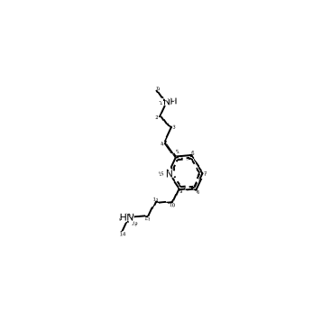 CNCCCc1cccc(CCCNC)n1